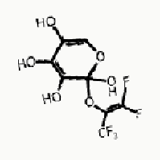 OC1=COC(O)(OC(=C(F)F)C(F)(F)F)C(O)=C1O